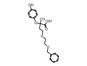 CC(CCOCCOCc1ccccc1)(Oc1ccc(O)cc1)C(=O)O